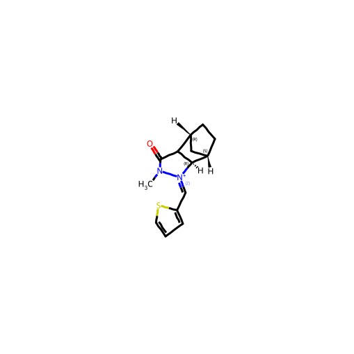 CN1C(=O)C2[C@@H]3CC[C@@H](C3)[C@H]2/[N+]1=C/c1cccs1